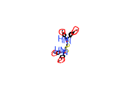 COc1ccc(-c2nc(SCCCSc3nc(-c4ccc(OC)cc4)c(-c4ccc(OC)cc4)[nH]3)[nH]c2-c2ccc(OC)cc2)cc1